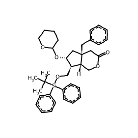 CC(C)(C)[Si](OC[C@@H]1[C@H]2COC(=O)C[C@@]2(Cc2ccccc2)C[C@H]1OC1CCCCO1)(c1ccccc1)c1ccccc1